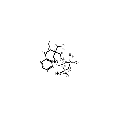 CC(Oc1ccccc1)C(CO)(CO)CO.O=P(O)(O)OP(=O)(O)O